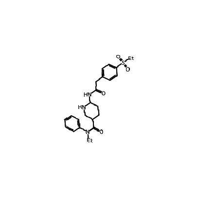 CCN(C(=O)C1CCC(NC(=O)Cc2ccc(S(=O)(=O)CC)cc2)NC1)c1ccccc1